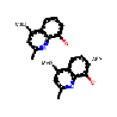 COc1cc(C)nc2c([O-])cccc12.COc1cc(C)nc2c([O-])cccc12.[Al+2]